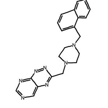 c1ccc2c(CN3CCN(Cc4nnc5ncncc5n4)CC3)cccc2c1